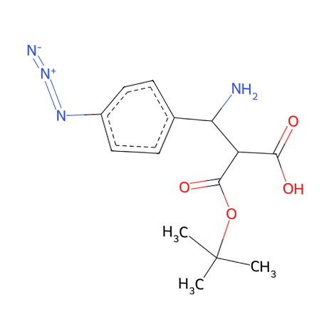 CC(C)(C)OC(=O)C(C(=O)O)C(N)c1ccc(N=[N+]=[N-])cc1